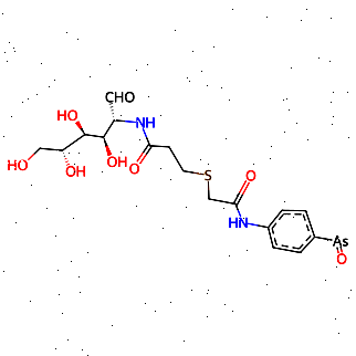 O=C[C@H](NC(=O)CCSCC(=O)Nc1ccc([As]=O)cc1)[C@@H](O)[C@H](O)[C@H](O)CO